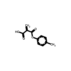 C=C(C(=O)O)C(=O)Oc1ccc(C)cc1